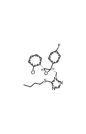 CCCCSc1ncnn1C[C@]1(c2ccc(F)cc2)O[C@@H]1c1ccccc1Cl